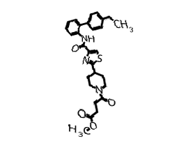 CCc1ccc(-c2ccccc2NC(=O)c2csc(C3CCN(C(=O)CCC(=O)OC)CC3)n2)cc1